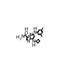 Cc1cc(C)cc(Nc2cc(NC3CCC3)c3ncc(C(N)O)n3n2)c1